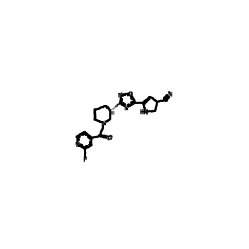 N#CC1C=C(c2nc([C@H]3CCCN(C(=O)c4ccnc(F)c4)C3)no2)NC1